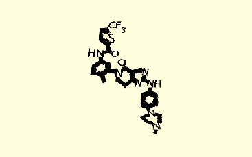 Cc1ccc(NC(=O)c2ccc(C(F)(F)F)s2)cc1N1CCc2nc(Nc3ccc(N4CCN(C)CC4)cc3)ncc2C1=O